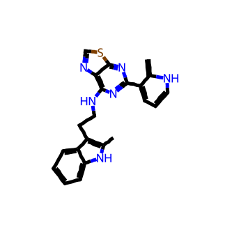 C=C1NC=CC=C1c1nc(NCCc2c(C)[nH]c3ccccc23)c2ncsc2n1